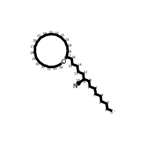 [CH2]CCCCCCCCC(C#N)CCCCC[C]1CCCCCCCCCCCCCCCCCO1